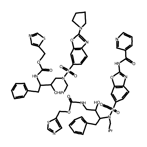 CC(C)CN(C(Cc1ccccc1)C(O)CNC(=O)OCc1cncs1)S(=O)(=O)c1ccc2nc(NC(=O)c3cccnc3)oc2c1.CC(C)CN(CC(O)C(Cc1ccccc1)NC(=O)OCc1cncs1)S(=O)(=O)c1ccc2nc(N3CCCC3)oc2c1